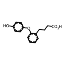 O=C(O)CCCc1ccccc1Oc1ccc(O)cc1